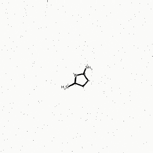 [SiH3]C1CCC([SiH3])[N]1